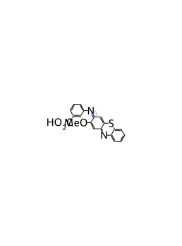 COc1cc2nc3ccccc3sc-2c/c1=N/c1cccc(C(=O)O)c1